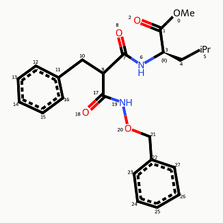 COC(=O)[C@@H](CC(C)C)NC(=O)C(Cc1ccccc1)C(=O)NOCc1ccccc1